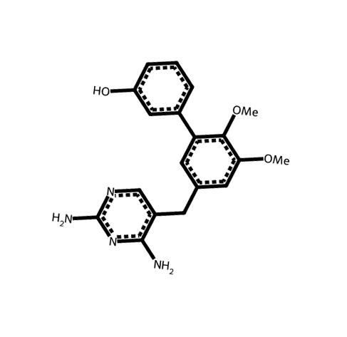 COc1cc(Cc2cnc(N)nc2N)cc(-c2cccc(O)c2)c1OC